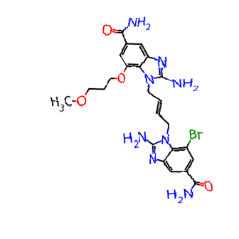 COCCCOc1cc(C(N)=O)cc2nc(N)n(C/C=C/Cn3c(N)nc4cc(C(N)=O)cc(Br)c43)c12